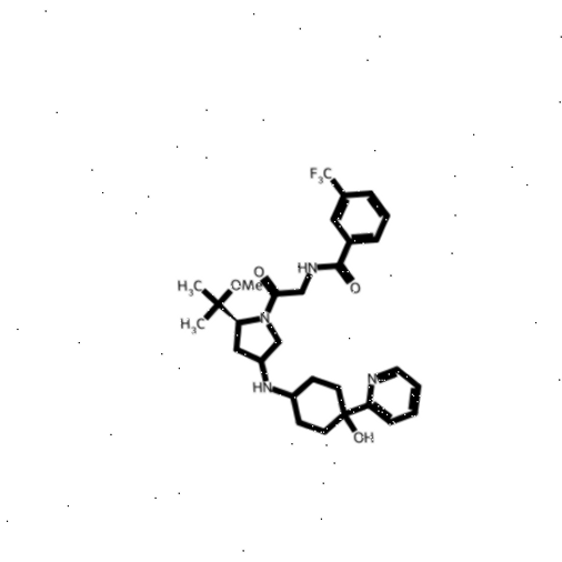 COC(C)(C)[C@@H]1CC(NC2CCC(O)(c3ccccn3)CC2)CN1C(=O)CNC(=O)c1cccc(C(F)(F)F)c1